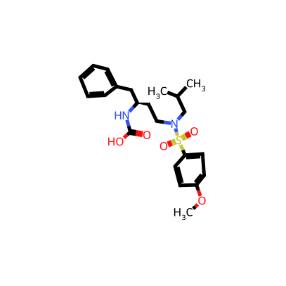 COc1ccc(S(=O)(=O)N(CC[C@H](Cc2ccccc2)NC(=O)O)CC(C)C)cc1